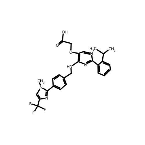 CC(C)c1ccccc1-c1ncc(OCC(=O)O)c(NCc2ccc(-c3nc(C(F)(F)F)cn3C)cc2)n1